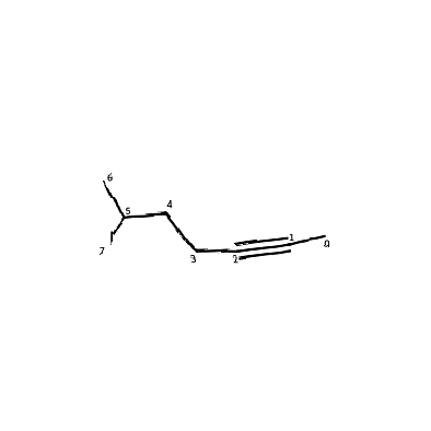 CC#CCCC(C)I